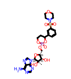 C[C@@]1(O)[C@H](O)[C@@H](COP2(=O)OCCC(c3cccc(S(=O)(=O)N4CCOCC4)c3)O2)O[C@H]1n1cnc2c(N)ncnc21